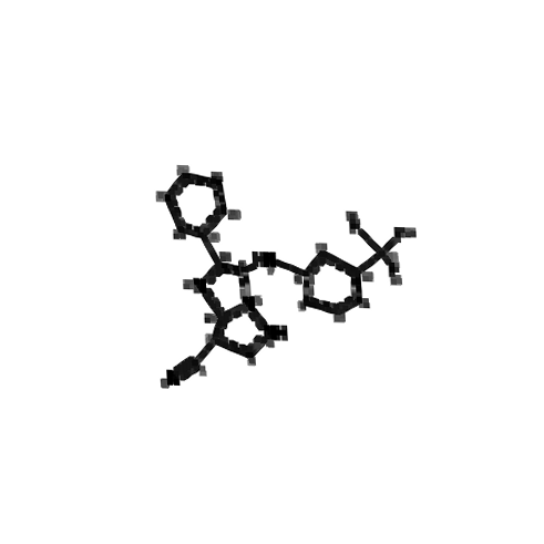 N#Cc1c[nH]n2c(Nc3cccc(C(F)(F)F)c3)c(-c3ccccc3)nc12